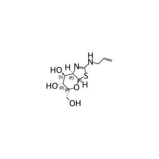 C=CCNC1=N[C@@H]2[C@H](O)[C@@H](O)[C@@H](CO)O[C@@H]2S1